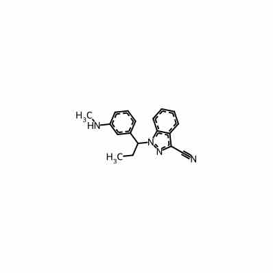 CCC(c1cccc(NC)c1)n1nc(C#N)c2ccccc21